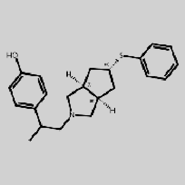 CC(CN1C[C@H]2C[C@H](Sc3ccccc3)C[C@H]2C1)c1ccc(O)cc1